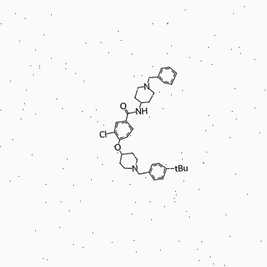 CC(C)(C)c1ccc(CN2CCC(Oc3ccc(C(=O)NC4CCN(Cc5ccccc5)CC4)cc3Cl)CC2)cc1